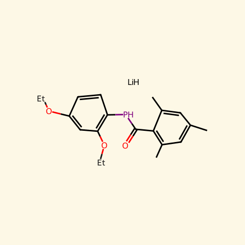 CCOc1ccc(PC(=O)c2c(C)cc(C)cc2C)c(OCC)c1.[LiH]